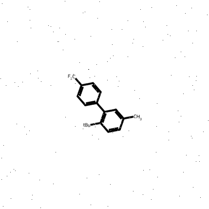 Cc1ccc(C(C)(C)C)c(-c2ccc(C(F)(F)F)cc2)c1